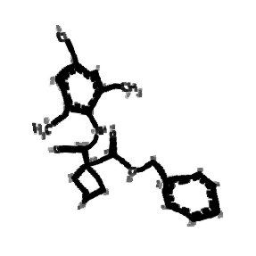 Cc1cc(Cl)cc(C)c1NC(=O)C1(C(=O)OCc2ccccc2)CCC1